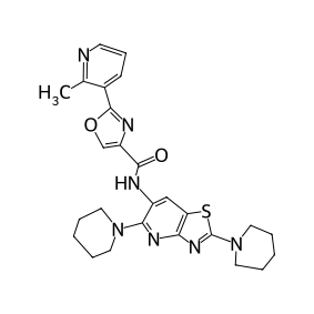 Cc1ncccc1-c1nc(C(=O)Nc2cc3sc(N4CCCCC4)nc3nc2N2CCCCC2)co1